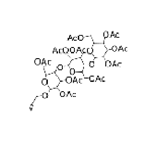 C#CCO[C@@H]1OC(COC(C)=O)[C@@H](O[C@H]2OC(COC(C)=O)[C@@H](O[C@H]3OC(COC(C)=O)[C@@H](OC(C)=O)C(OC(C)=O)C3OC(C)=O)C(OC(C)=O)[C@H]2OC(C)=O)C(OC(C)=O)C1OC(C)=O